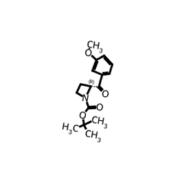 COc1cccc(C(=O)[C@H]2CCN2C(=O)OC(C)(C)C)c1